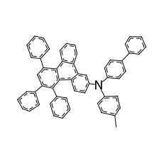 Cc1ccc(N(c2ccc(-c3ccccc3)cc2)c2ccc3c(c2)c2ccccc2c2c(-c4ccccc4)cc(-c4ccccc4)c(-c4ccccc4)c32)cc1